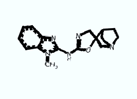 Cn1c(NC2=NCC3(CN4CCC3CC4)O2)nc2ccccc21